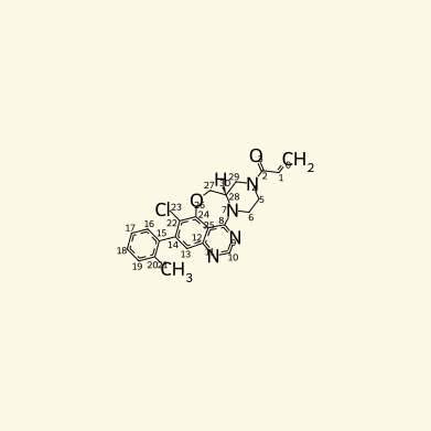 C=CC(=O)N1CCN2c3ncnc4cc(-c5ccccc5C)c(Cl)c(c34)OC[C@@H]2C1